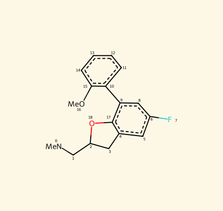 CNCC1Cc2cc(F)cc(-c3ccccc3OC)c2O1